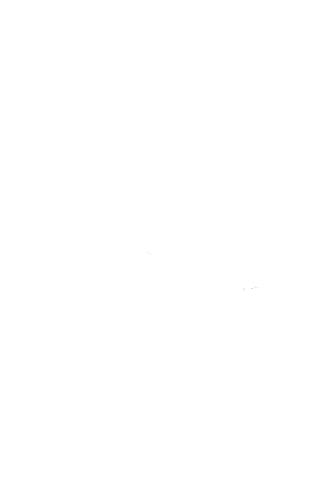 CCCCCCCCCCOCC(COS(=O)(=O)O)N1CCc2ccccc2C1